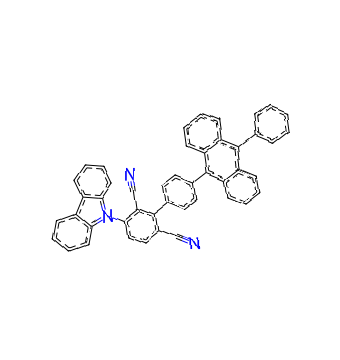 N#Cc1ccc(-n2c3ccccc3c3ccccc32)c(C#N)c1-c1ccc(-c2c3ccccc3c(-c3ccccc3)c3ccccc23)cc1